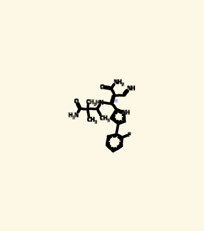 CC(N/C(=C(/C=N)C(N)=O)c1cc(-c2ccccc2F)c[nH]1)C(C)(C)C(N)=O